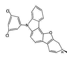 C[C@H]1C=Cc2c(oc3c2ccc2c3c3ccccc3n2-c2cc(Cl)cc(Cl)c2)C1